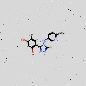 CNc1ccc(Nn2c(S)nnc2-c2cc(C(C)C)c(O)cc2O)cn1